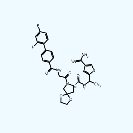 CC(NC(=O)[C@@H]1CC2(CN1C(=O)CNC(=O)c1ccc(-c3ccc(F)cc3F)cc1)OCCO2)c1cc(C(=N)N)cs1